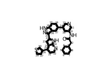 O=C(Cc1ccccc1)Nc1cncc(-c2ccc3[nH]nc(-c4cc5c(-c6ccsc6)ccnc5[nH]4)c3c2)c1